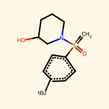 C=S(=O)(c1ccc(C(C)(C)C)cc1)N1CCCC(O)C1